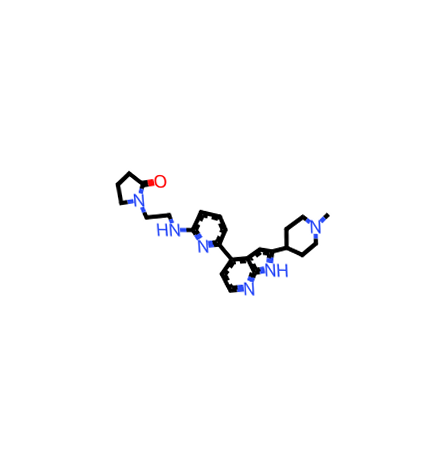 CN1CCC(c2cc3c(-c4cccc(NCCN5CCCC5=O)n4)ccnc3[nH]2)CC1